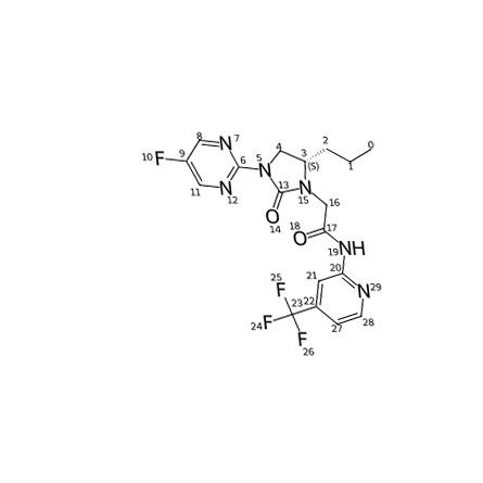 CCC[C@H]1CN(c2ncc(F)cn2)C(=O)N1CC(=O)Nc1cc(C(F)(F)F)ccn1